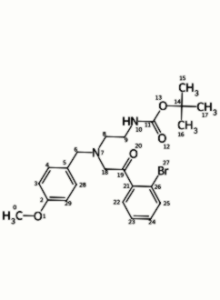 COc1ccc(CN(CCNC(=O)OC(C)(C)C)CC(=O)c2ccccc2Br)cc1